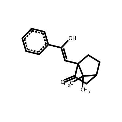 CC1(C)C2CCC1(C=C(O)c1ccccc1)C(=O)C2